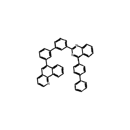 c1ccc(-c2ccc(-c3nc(-c4cccc(-c5cccc(-c6cc7cccnc7c7ccccc67)c5)c4)nc4ccccc34)cc2)cc1